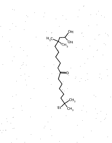 CCC(C)(C)CCCCCC(=O)CCCCCC(C)(C)CC(O)O